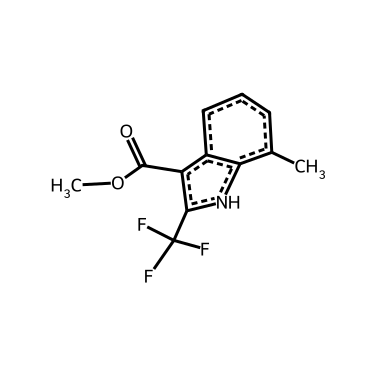 COC(=O)c1c(C(F)(F)F)[nH]c2c(C)cccc12